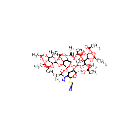 CC(=O)NC1C(O[C@@H]2O[C@@H](COC(C)=O)C(OC(C)=O)C(OC(C)=O)C2O[C@@H]2O[C@@H](C)C(OC(C)=O)C(OC(C)=O)C2OC(C)=O)C(O[C@@H](C)OC(C)C(OC(C)=O)[C@@H](COC(C)=O)OC(C)=O)[C@H](COC(C)=O)O[C@H]1SCC#N